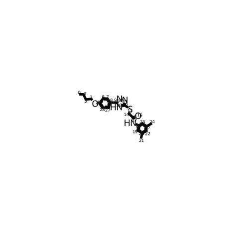 CCCCOc1ccc(-c2nnc(SCC(=O)Nc3cc(C)cc(C)c3)[nH]2)cc1